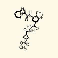 COC(=O)N1CC(C(=O)NNC(=O)c2cc(F)c(C)c(NC(=O)c3cnc4ccccn34)c2)C1